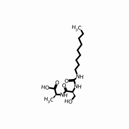 CCCCCCCCCNC(=O)N[C@@H](CO)C(=O)N[C@@H](C)C(=O)O